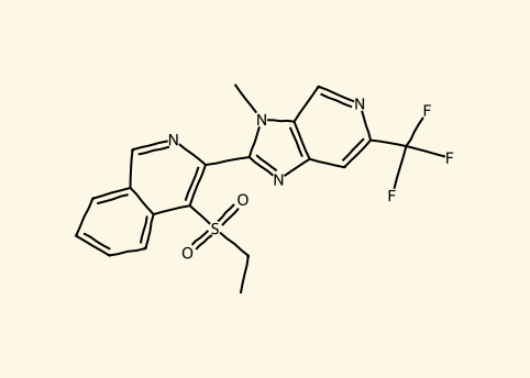 CCS(=O)(=O)c1c(-c2nc3cc(C(F)(F)F)ncc3n2C)ncc2ccccc12